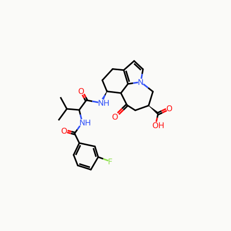 CC(C)C(NC(=O)c1cccc(F)c1)C(=O)N[C@H]1CCc2ccn3c2C1C(=O)C[C@H](C(=O)O)C3